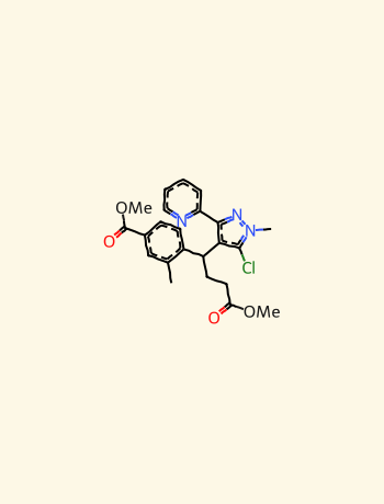 COC(=O)CCC(c1ccc(C(=O)OC)cc1C)c1c(-c2ccccn2)nn(C)c1Cl